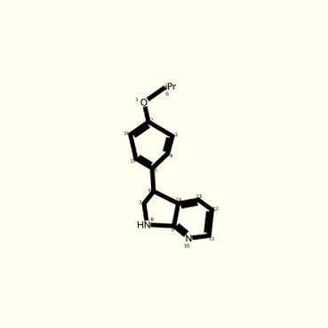 CC(C)Oc1ccc(C2CNc3ncccc32)cc1